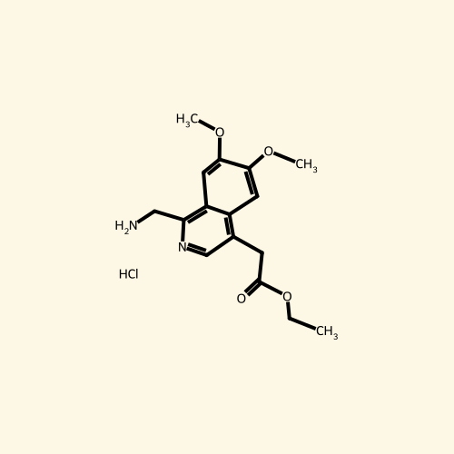 CCOC(=O)Cc1cnc(CN)c2cc(OC)c(OC)cc12.Cl